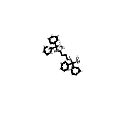 CCNC(BCCCCBC(NCC)(c1ccccc1)c1ccccc1)(c1ccccc1)c1ccccc1